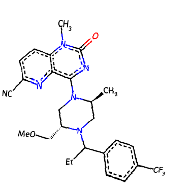 CCC(c1ccc(C(F)(F)F)cc1)N1C[C@H](C)N(c2nc(=O)n(C)c3ccc(C#N)nc23)C[C@H]1COC